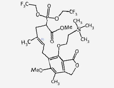 COC(=O)C(C/C(C)=C/Cc1c(OC)c(C)c2c(c1OCC[Si](C)(C)C)C(=O)OC2)P(=O)(OCC(F)(F)F)OCC(F)(F)F